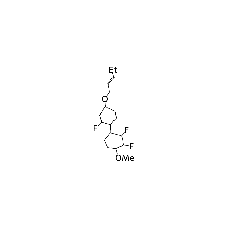 CCC=CCOC1CCC(C2CCC(OC)C(F)C2F)C(F)C1